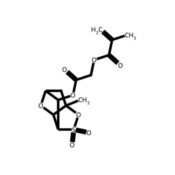 C=C(C)C(=O)OCC(=O)OC1C2CC3(C)OS(=O)(=O)C1C3O2